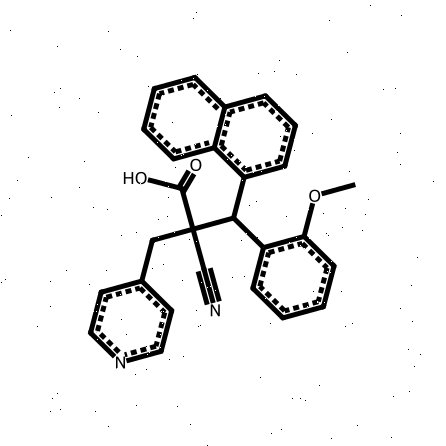 COc1ccccc1C(c1cccc2ccccc12)C(C#N)(Cc1ccncc1)C(=O)O